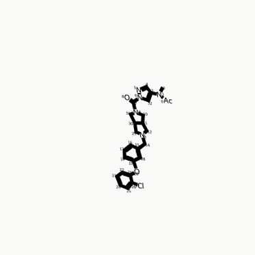 CC(=O)N(C)c1cnn(C(=O)N2CC3CN(Cc4cccc(Oc5ccccc5Cl)c4)CC3C2)c1